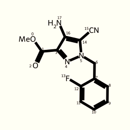 COC(=O)c1nn(Cc2ccccc2F)c(C#N)c1N